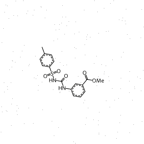 COC(=O)c1cccc(NC(=O)NS(=O)(=O)c2ccc(C)cc2)c1